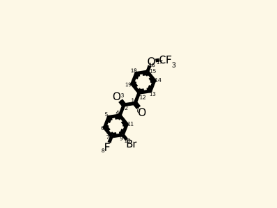 O=C(C(=O)c1ccc(F)c(Br)c1)c1ccc(OC(F)(F)F)cc1